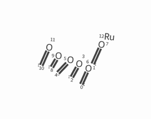 [C]=O.[C]=O.[C]=O.[C]=O.[C]=O.[C]=O.[Ru]